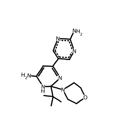 CC(C)(C)C1(N2CCOCC2)N=C(c2cnc(N)nc2)C=C(N)N1